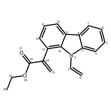 C=Cn1c2ccccc2c2cccc(C(=C)C(=O)OCC)c21